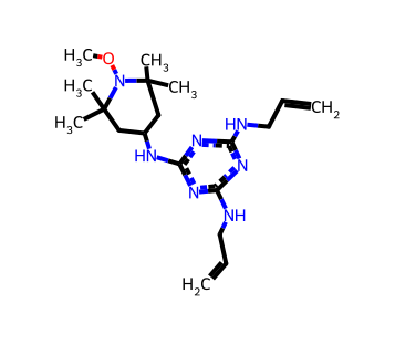 C=CCNc1nc(NCC=C)nc(NC2CC(C)(C)N(OC)C(C)(C)C2)n1